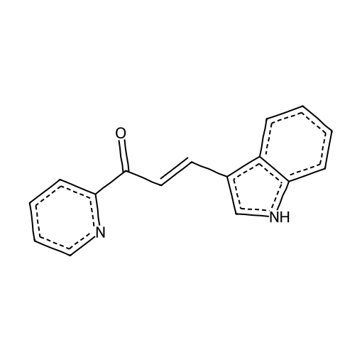 O=C(/C=C/c1c[nH]c2ccccc12)c1ccccn1